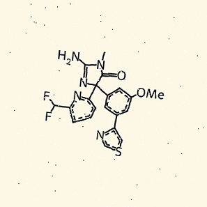 COc1cc(-c2cscn2)cc(C2(c3cccc(C(F)F)n3)N=C(N)N(C)C2=O)c1